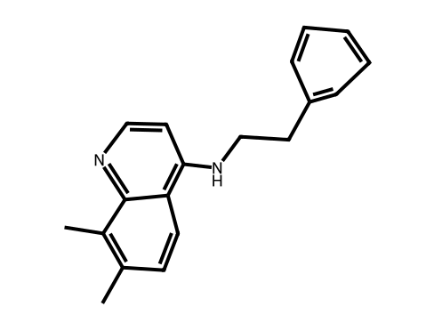 Cc1ccc2c(NCCc3ccccc3)ccnc2c1C